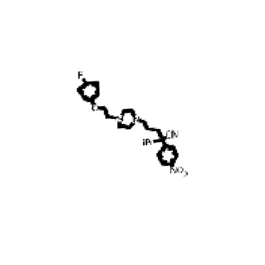 CC(C)C(C#N)(CCCN1CCN(CCOc2ccc(F)cc2)CC1)c1ccc([N+](=O)[O-])cc1